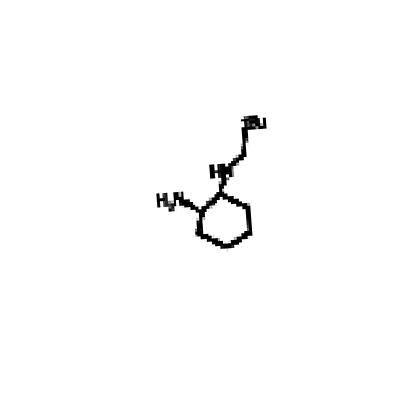 CC(C)(C)CN[C@H]1CCCC[C@H]1N